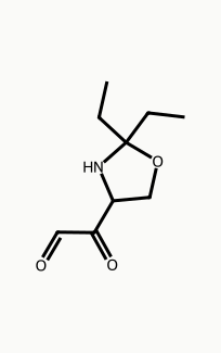 CCC1(CC)NC(C(=O)C=O)CO1